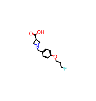 O=C(O)C1CN(Cc2ccc(OCCCF)cc2)C1